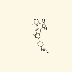 Cc1cccc(-c2[nH]cnc2-c2ccc3ncc(C4CCC(N)CC4)cc3c2)n1